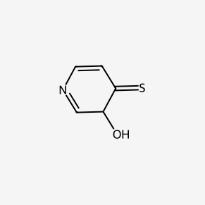 OC1C=NC=CC1=S